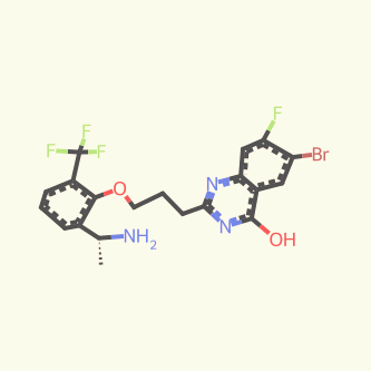 C[C@@H](N)c1cccc(C(F)(F)F)c1OCCCc1nc(O)c2cc(Br)c(F)cc2n1